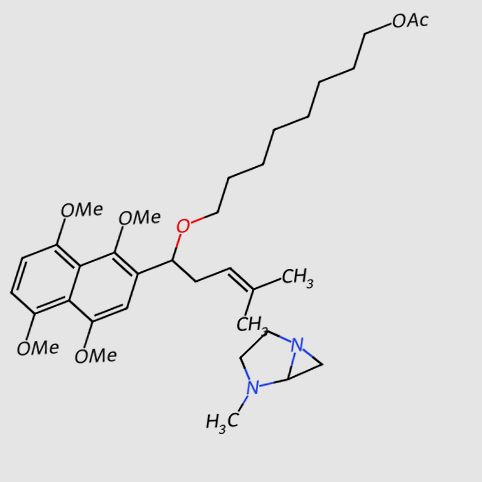 CN1CCN2CC12.COc1ccc(OC)c2c(OC)c(C(CC=C(C)C)OCCCCCCCCOC(C)=O)cc(OC)c12